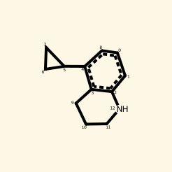 c1cc2c(c(C3CC3)c1)CCCN2